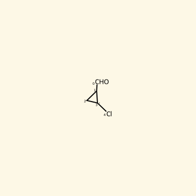 O=CC1C[C]1Cl